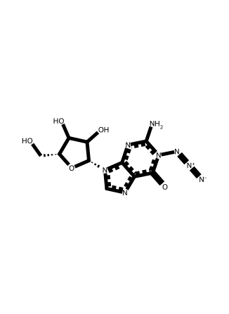 [N-]=[N+]=Nn1c(N)nc2c(ncn2[C@@H]2O[C@H](CO)C(O)C2O)c1=O